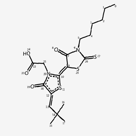 CCCCCCN1C(=O)/C(=c2/s/c(=C\C(C)(C)C)c(=O)n2CC(=O)O)SC1=S